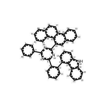 c1ccc(-c2nc(-c3ccccc3-c3cccc4[nH]c5ccccc5c34)nc(-c3cc4ccccc4c4ccc5ccccc5c34)n2)cc1